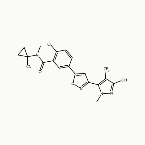 CN(C(=O)c1cc(-c2cc(-c3c(C(F)(F)F)c(O)nn3C)no2)ccc1Cl)C1(C#N)CC1